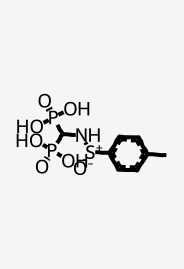 Cc1ccc([S+]([O-])NC(P(=O)(O)O)P(=O)(O)O)cc1